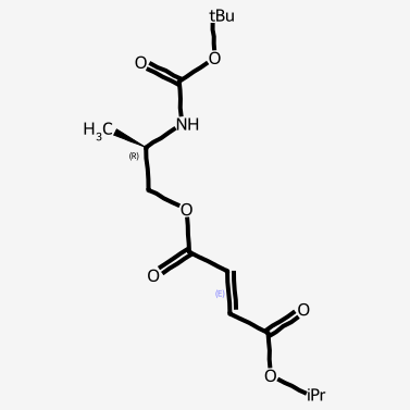 CC(C)OC(=O)/C=C/C(=O)OC[C@@H](C)NC(=O)OC(C)(C)C